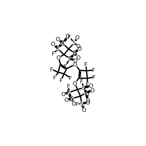 O=S(=O)(F)C(OC1=C(OC2=C(OC(C(S(=O)(=O)F)(S(=O)(=O)F)S(=O)(=O)F)(S(=O)(=O)F)S(=O)(=O)F)C(F)(F)C2(F)F)C(F)(F)C1(F)F)(C(S(=O)(=O)F)(S(=O)(=O)F)S(=O)(=O)F)S(=O)(=O)F